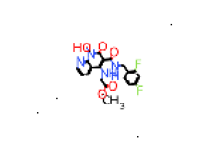 COC(=O)CNc1c(C(=O)NCc2ccc(F)cc2F)c(=O)n(O)c2ncccc12